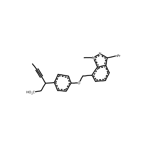 CC#CC(CC(=O)O)c1ccc(OCc2cccc3c(CCC)nn(C)c23)cc1